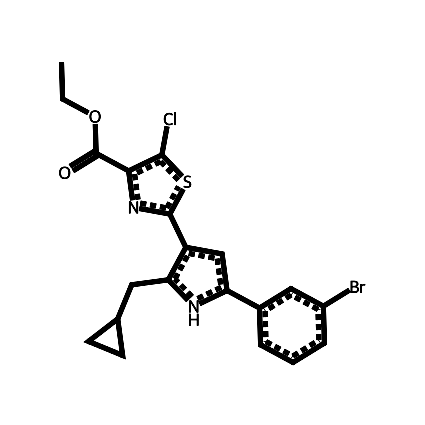 CCOC(=O)c1nc(-c2cc(-c3cccc(Br)c3)[nH]c2CC2CC2)sc1Cl